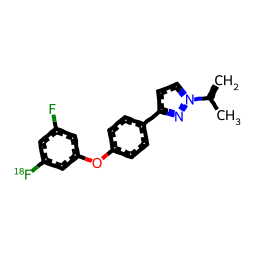 C=C(C)n1ccc(-c2ccc(Oc3cc(F)cc([18F])c3)cc2)n1